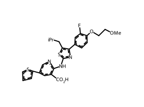 COCCOc1ccc(-c2nc(Nc3ncc(-c4cccs4)cc3C(=O)O)sc2CC(C)C)cc1F